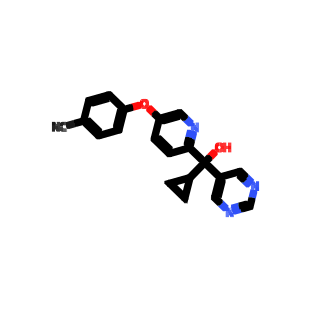 N#Cc1ccc(Oc2ccc(C(O)(c3cncnc3)C3CC3)nc2)cc1